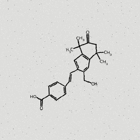 CC1(C)CC(=O)C(C)(C)c2cc(/C=C/c3ccc(C(=O)O)cc3)c(CO)cc21